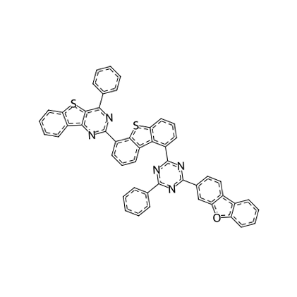 c1ccc(-c2nc(-c3ccc4c(c3)oc3ccccc34)nc(-c3cccc4sc5c(-c6nc(-c7ccccc7)c7sc8ccccc8c7n6)cccc5c34)n2)cc1